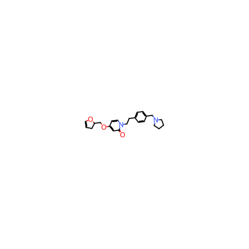 O=c1cc(OCC2CC=CO2)ccn1CCc1ccc(CN2CCCC2)cc1